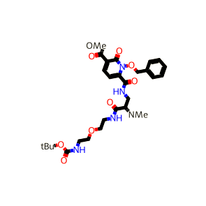 CNC(CNC(=O)c1ccc(C(=O)OC)c(=O)n1OCc1ccccc1)C(=O)NCCOCCNC(=O)OC(C)(C)C